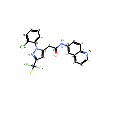 O=C(Cc1cc(C(F)(F)F)nn1-c1ccccc1Cl)Nc1ccc2ncccc2c1